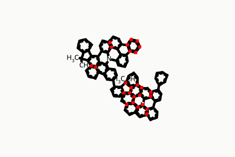 CC1(C)c2ccccc2-c2c(-c3ccccc3N(c3cccc(-c4ccccc4)c3-c3ccccc3-c3ccccc3)c3cc4ccccc4c4cc(-c5cccc6c5C(C)(C)c5cccc(-c7ccccc7N(c7ccccc7-c7ccc(-c8ccccc8)cc7)c7cccc(-c8ccccc8)c7-c7ccccc7-c7ccccc7)c5-6)ccc34)cccc21